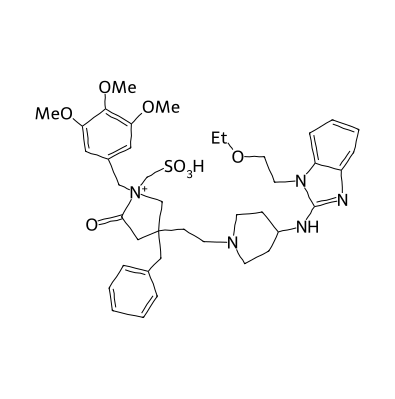 CCOCCn1c(NC2CCN(CCC3(Cc4ccccc4)CC(=O)[N+](Cc4cc(OC)c(OC)c(OC)c4)(CS(=O)(=O)O)C3)CC2)nc2ccccc21